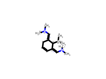 CN(C)/C=C1/C=CC/C(=C\N(C)C)[CH]1[Ga]([CH3])[CH3]